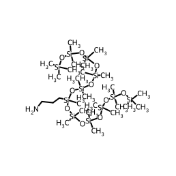 C[Si](C)(C)O[Si](C)(C)O[Si](C)(C)O[Si](C)(C)O[Si](C)(C)O[Si](C)(CCCN)O[Si](C)(C)O[Si](C)(C)O[Si](C)(C)O[Si](C)(C)O[Si](C)(C)C